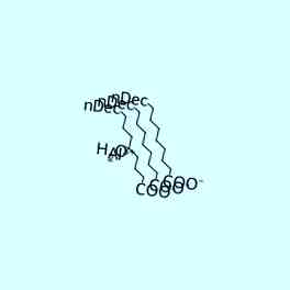 CCCCCCCCCCCCCCCCCC(=O)[O-].CCCCCCCCCCCCCCCCCC(=O)[O-].CCCCCCCCCCCCCCCCCC(=O)[O-].O.[Al+3]